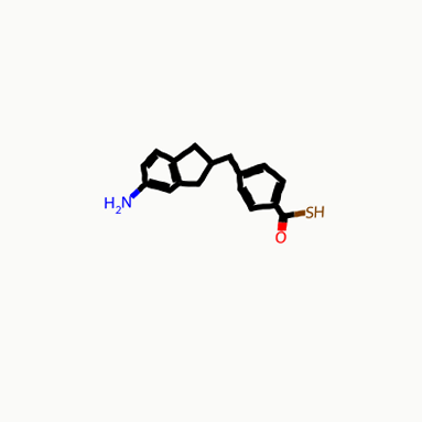 Nc1ccc2c(c1)CC(Cc1ccc(C(=O)S)cc1)C2